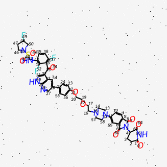 O=C1CCC(N2C(=O)c3ccc(N4CCN(CCOCCOc5ccc(-c6cnc7[nH]cc(C(=O)c8c(F)ccc(NS(=O)(=O)N9CCC(F)C9)c8F)c7c6)cc5)CC4)cc3C2=O)C(=O)N1